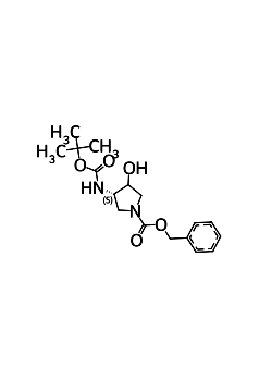 CC(C)(C)OC(=O)N[C@H]1CN(C(=O)OCc2ccccc2)CC1O